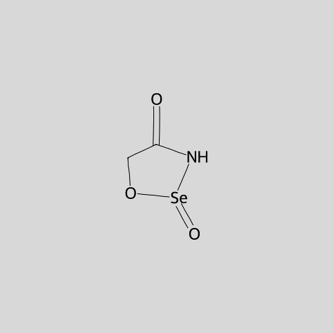 O=C1CO[Se](=O)N1